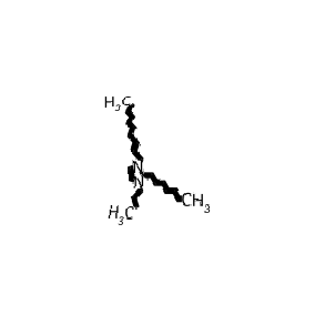 CCCCCCCCCCn1cc[n+](CCCC)c1CCCCCCC